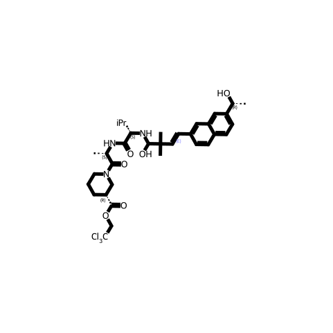 CC(C)[C@H](NC(O)C(C)(C)/C=C/c1ccc2ccc([C@@H](C)O)cc2c1)C(=O)N[C@@H](C)C(=O)N1CCC[C@@H](C(=O)OCC(Cl)(Cl)Cl)C1